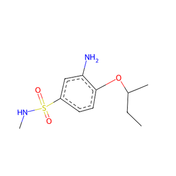 CCC(C)Oc1ccc(S(=O)(=O)NC)cc1N